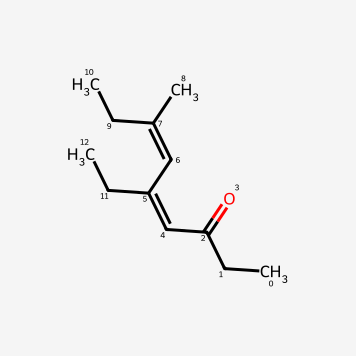 CCC(=O)C=C(C=C(C)CC)CC